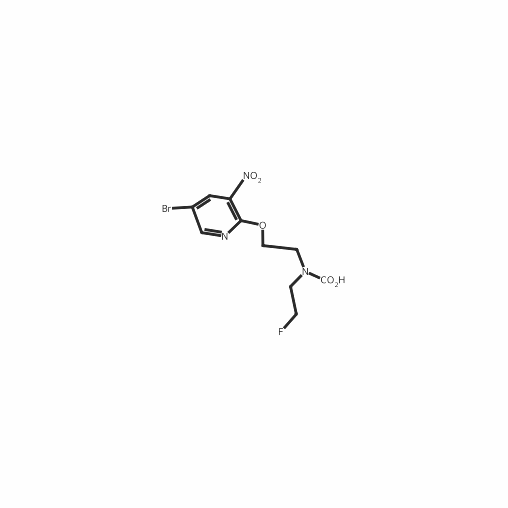 O=C(O)N(CCF)CCOc1ncc(Br)cc1[N+](=O)[O-]